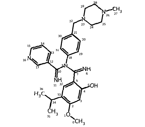 COc1cc(O)c(C(=N)N(C(=N)c2cccnc2)c2ccc(CN3CCN(C)CC3)cc2)cc1C(C)C